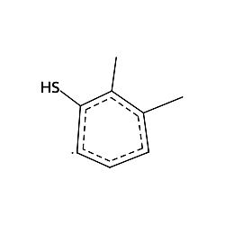 Cc1cc[c]c(S)c1C